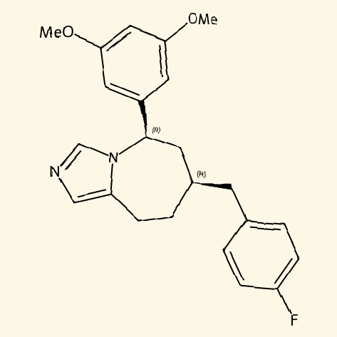 COc1cc(OC)cc([C@H]2C[C@@H](Cc3ccc(F)cc3)CCc3cncn32)c1